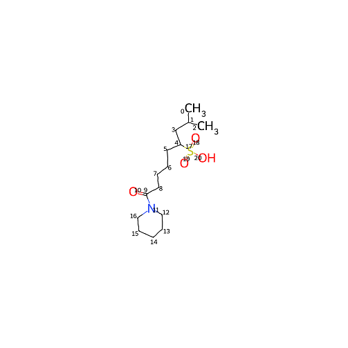 CC(C)CC(CCCCC(=O)N1CCCCC1)S(=O)(=O)O